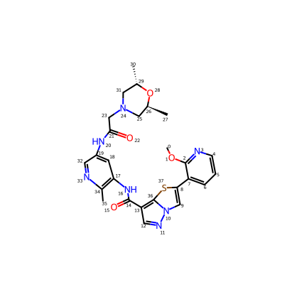 COc1ncccc1-c1cn2ncc(C(=O)Nc3cc(NC(=O)CN4C[C@H](C)O[C@@H](C)C4)cnc3C)c2s1